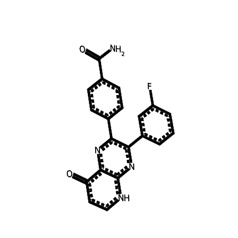 NC(=O)c1ccc(-c2nc3c(=O)cc[nH]c3nc2-c2cccc(F)c2)cc1